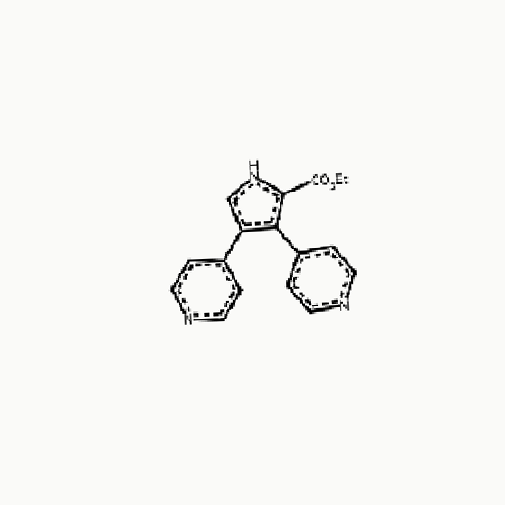 CCOC(=O)c1[nH]cc(-c2ccncc2)c1-c1ccncc1